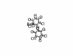 O=c1[nH]c(=O)n(Cl)c(=O)n1Cl.O=c1[nH]c(=O)n(Cl)c(=O)n1Cl.[BaH2]